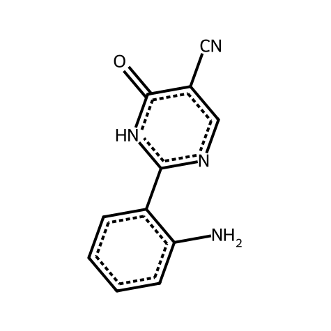 N#Cc1cnc(-c2ccccc2N)[nH]c1=O